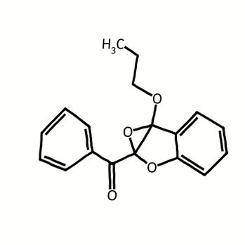 CCCOC12OC1(C(=O)c1ccccc1)Oc1ccccc12